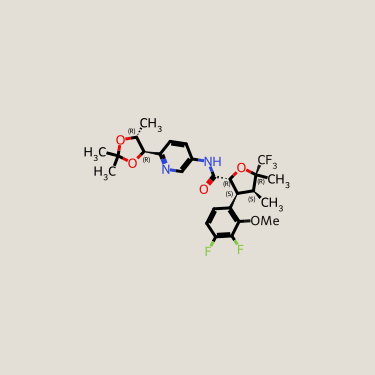 COc1c([C@H]2[C@H](C(=O)Nc3ccc([C@H]4OC(C)(C)O[C@@H]4C)nc3)O[C@@](C)(C(F)(F)F)[C@H]2C)ccc(F)c1F